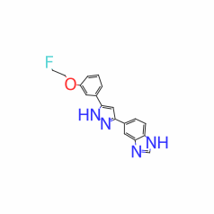 FCCOc1cccc(-c2cc(-c3ccc4[nH]cnc4c3)n[nH]2)c1